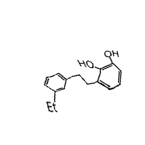 CCc1cccc(CCc2cccc(O)c2O)c1